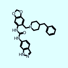 O=C(Nc1ccc2cn[nH]c2c1)Nc1cc2c(cc1CN1CCC(Cc3ccccc3)CC1)OCO2